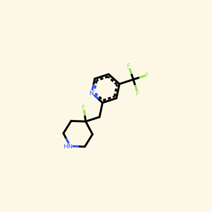 FC1(Cc2cc(C(F)(F)F)ccn2)CCNCC1